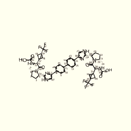 C[C@H]1CC[C@@H](c2nc(-c3ccc(-c4ccc(-c5c[nH]c([C@@H]6CC[C@H](C)N6C(=O)[C@@H](NC(=O)O)C67CC(C(F)(F)F)(C6)C7)n5)cc4)cc3)c[nH]2)N1C(=O)[C@@H](NC(=O)O)C12CC(C(F)(F)F)(C1)C2